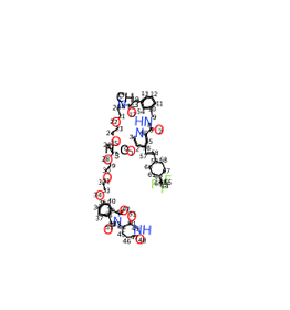 COc1cnc(C(=O)NCc2cccc(CC(=O)N(C)CCOCCOCCOCCOCCOc3ccc4c(c3)C(=O)N(C3CCC(=O)NC3=O)C4=O)c2)cc1/C=C/C1CCC(C(F)(F)F)CC1